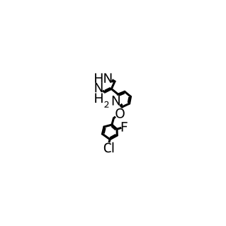 N=C/C(=C\N)c1cccc(OCc2ccc(Cl)cc2F)n1